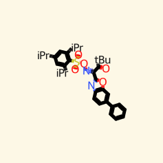 CC(C)c1cc(C(C)C)c(S(=O)(=O)O/N=C(\C(=O)C(C)(C)C)c2nc3ccc(-c4ccccc4)cc3o2)c(C(C)C)c1